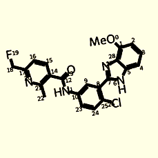 COc1cccc2[nH]c(-c3cc(NC(=O)c4ccc(CF)nc4C)ccc3Cl)nc12